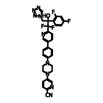 N#Cc1ccc(N2CCN(c3ccc(-c4ccc(C(F)(F)[C@](O)(Cn5cnnn5)c5ccc(F)cc5F)nc4)cc3)CC2)cn1